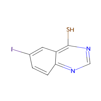 Sc1ncnc2ccc(I)cc12